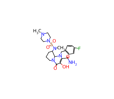 CN1CCN(S(=O)(=O)N(C)C2CCCN3C(=O)C(O)=C(C(N)=O)N(Cc4ccc(F)cc4)C23)CC1